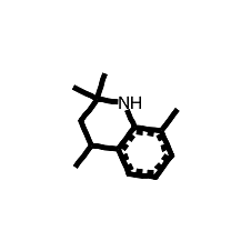 Cc1cccc2c1NC(C)(C)CC2C